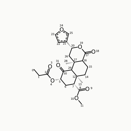 CCC(=O)O[C@H]1C[C@@H](C(=O)OC)[C@]2(C)CCC3C(=O)O[C@@H](c4ccoc4)C[C@]3(C)C2C1=O